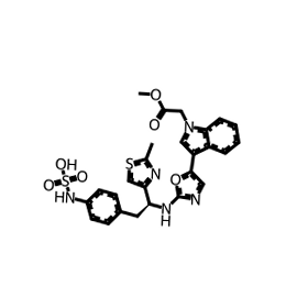 COC(=O)Cn1cc(-c2cnc(N[C@@H](Cc3ccc(NS(=O)(=O)O)cc3)c3csc(C)n3)o2)c2ccccc21